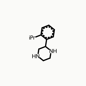 CC(C)c1ccccc1C1CNCCN1